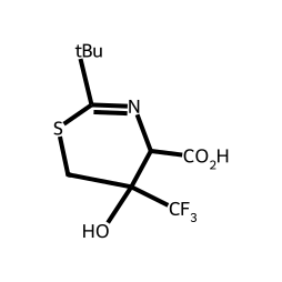 CC(C)(C)C1=NC(C(=O)O)C(O)(C(F)(F)F)CS1